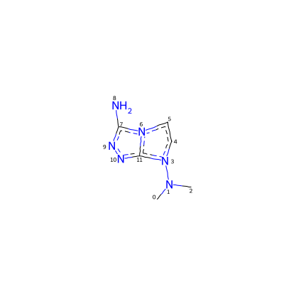 CN(C)n1ccn2c(N)nnc12